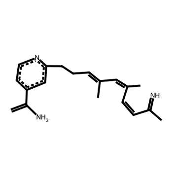 C=C(N)c1ccnc(CC/C=C(C)/C=C(C)\C=C/C(C)=N)c1